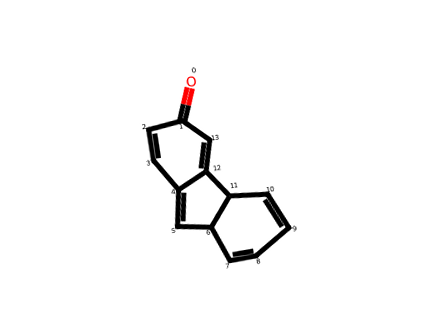 O=C1C=CC2=CC3C=CC=CC3C2=C1